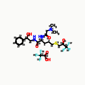 CN(C)CC(=O)N[C@@H](CCCSCC(=O)C(F)(F)F)C(=O)NCC(O)c1ccccc1.O=C(O)C(F)(F)F